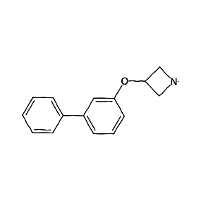 c1ccc(-c2cccc(OC3C[N]C3)c2)cc1